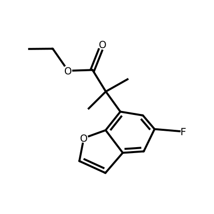 CCOC(=O)C(C)(C)c1cc(F)cc2ccoc12